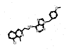 COc1ccc(Cn2cnc3c(NCCc4cc5cccc(Cl)c5c(C)n4)ncnc32)cc1